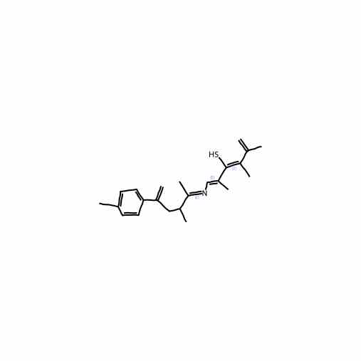 C=C(C)/C(C)=C(S)/C(C)=C/N=C(\C)C(C)CC(=C)c1ccc(C)cc1